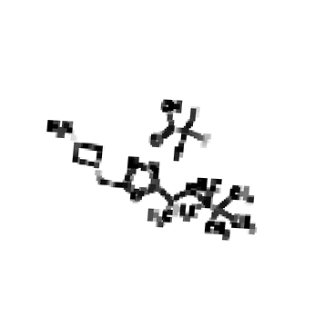 CC(O[Si](C)(C)C(C)(C)C)c1nnc(C[C@H]2C[C@@H](N)C2)o1.O=C(O)C(F)(F)F